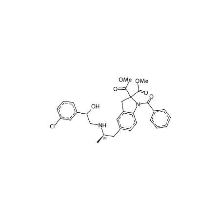 COC(=O)C1(C(=O)OC)Cc2cc(C[C@@H](C)NCC(O)c3cccc(Cl)c3)ccc2N1C(=O)c1ccccc1